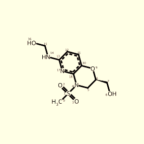 CS(=O)(=O)N1C[C@H](CO)Oc2ccc(NCO)nc21